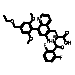 CCOCc1cc(OC)c(-c2cc(F)c(C[C@H](NC(=O)c3c(F)cccc3F)C(=O)O)c3cccnc23)c(OC)c1